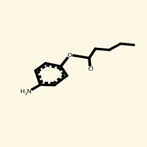 CCCCC(Cl)Oc1ccc(N)cc1